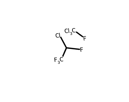 FC(Cl)(Cl)Cl.FC(Cl)C(F)(F)F